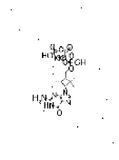 C[C@@H]1[C@@H](COP(=O)(O)OP(=O)(O)OP(=O)(O)O)C(C)(C)[C@H]1n1cnc2c(=O)[nH]c(N)nc21